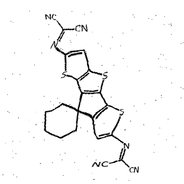 N#CC(C#N)=Nc1cc2c(s1)-c1sc3cc(N=C(C#N)C#N)sc3c1C21CCCCC1